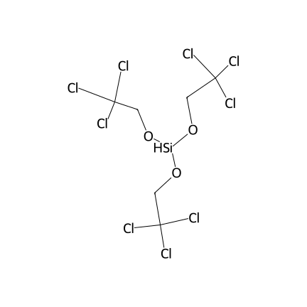 ClC(Cl)(Cl)CO[SiH](OCC(Cl)(Cl)Cl)OCC(Cl)(Cl)Cl